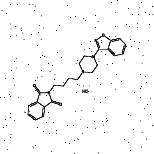 Cl.O=C1c2ccccc2C(=O)N1CCCCN1CCN(c2noc3ccccc23)CC1